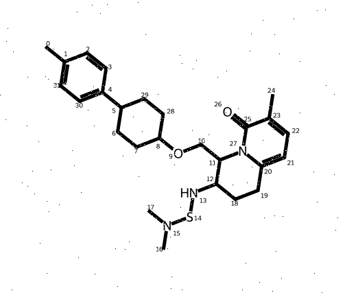 Cc1ccc(C2CCC(OCC3C(NSN(C)C)CCc4ccc(C)c(=O)n43)CC2)cc1